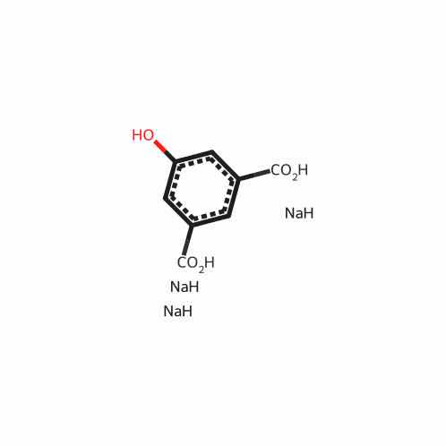 O=C(O)c1cc(O)cc(C(=O)O)c1.[NaH].[NaH].[NaH]